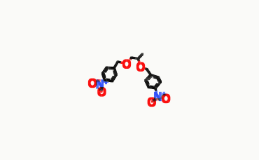 CC(COCc1ccc([N+](=O)[O-])cc1)OCc1ccc([N+](=O)[O-])cc1